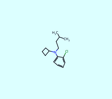 CC(C)CCN(c1ccccc1Cl)C1CCC1